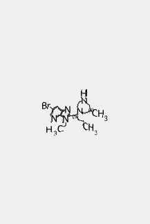 CCC[C@@H](c1nc2cc(Br)cnc2n1CC)N1CCNC[C@@H](C)C1